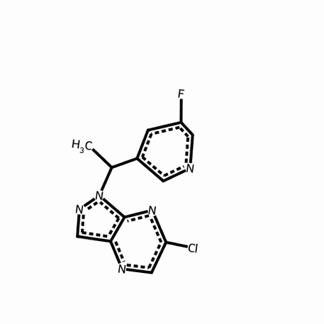 CC(c1cncc(F)c1)n1ncc2ncc(Cl)nc21